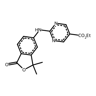 CCOC(=O)c1cnc(Nc2ccc3c(c2)C(C)(C)OC3=O)nc1